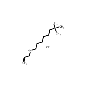 C=CCNCCCCCC[N+](C)(C)C.[Cl-]